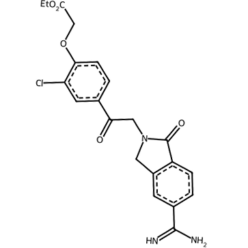 CCOC(=O)COc1ccc(C(=O)CN2Cc3cc(C(=N)N)ccc3C2=O)cc1Cl